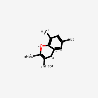 CCCCCCCC1=C(CCCCCC)Oc2c(C)cc(CC)cc2C1